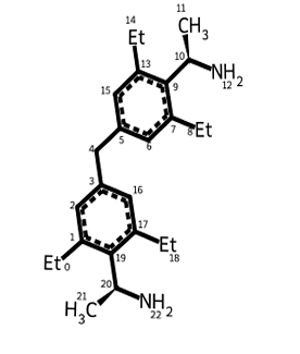 CCc1cc(Cc2cc(CC)c([C@@H](C)N)c(CC)c2)cc(CC)c1[C@H](C)N